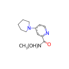 CN(O)C(=O)c1cc(N2CCCCC2)ccn1